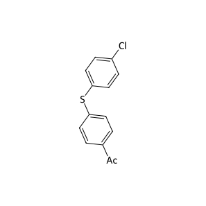 CC(=O)c1ccc(Sc2ccc(Cl)cc2)cc1